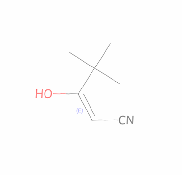 CC(C)(C)/C(O)=C\C#N